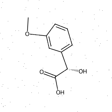 COc1cccc([C@H](O)C(=O)O)c1